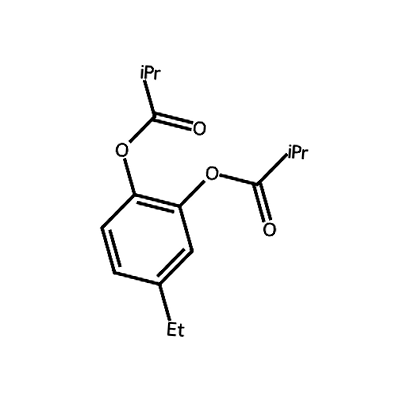 CCc1ccc(OC(=O)C(C)C)c(OC(=O)C(C)C)c1